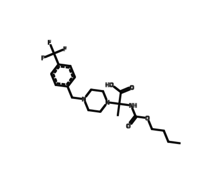 CCCCOC(=O)NC(C)(C(=O)O)N1CCN(Cc2ccc(C(F)(F)F)cc2)CC1